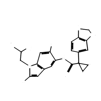 CC(C)(C)c1cc2cc(NC(=O)C3(c4ccc5c(c4)OCO5)CC3)c(F)cc2n1CC(O)O